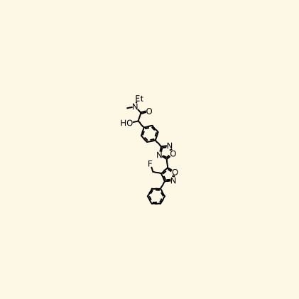 CCN(C)C(=O)C(O)c1ccc(-c2noc(-c3onc(-c4ccccc4)c3CF)n2)cc1